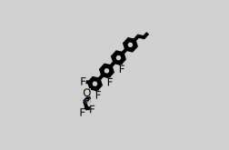 CCCc1ccc(-c2ccc(-c3ccc(-c4cc(F)c(O/C=C/C(F)F)c(F)c4)c(F)c3)c(F)c2)cc1